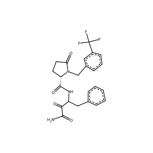 NC(=O)C(=O)C(Cc1ccccc1)NC(=O)[C@@H]1CCC(=O)N1Cc1cccc(C(F)(F)F)c1